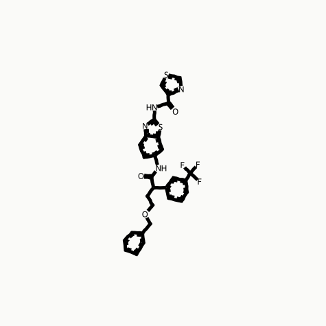 O=C(Nc1nc2ccc(NC(=O)C(CCOCc3ccccc3)c3cccc(C(F)(F)F)c3)cc2s1)c1cscn1